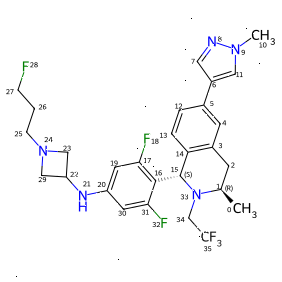 C[C@@H]1Cc2cc(-c3cnn(C)c3)ccc2[C@@H](c2c(F)cc(NC3CN(CCCF)C3)cc2F)N1CC(F)(F)F